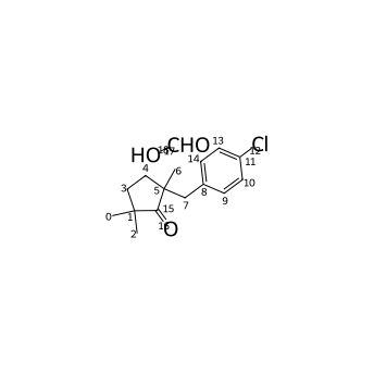 CC1(C)CCC(C)(Cc2ccc(Cl)cc2)C1=O.O=CO